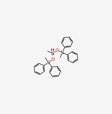 C[SiH](O[Si](C)(c1ccccc1)c1ccccc1)O[Si](C)(c1ccccc1)c1ccccc1